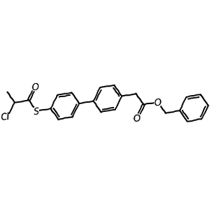 CC(Cl)C(=O)Sc1ccc(-c2ccc(CC(=O)OCc3ccccc3)cc2)cc1